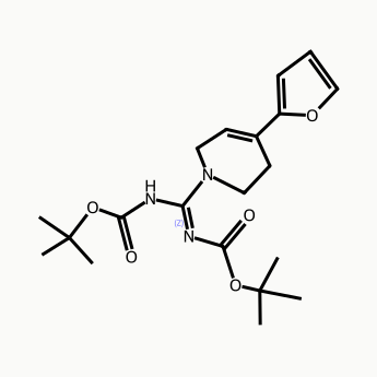 CC(C)(C)OC(=O)/N=C(/NC(=O)OC(C)(C)C)N1CC=C(c2ccco2)CC1